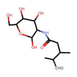 CC(C=O)C(C)CC(=O)NC1C(O)OC(CO)C(O)C1O